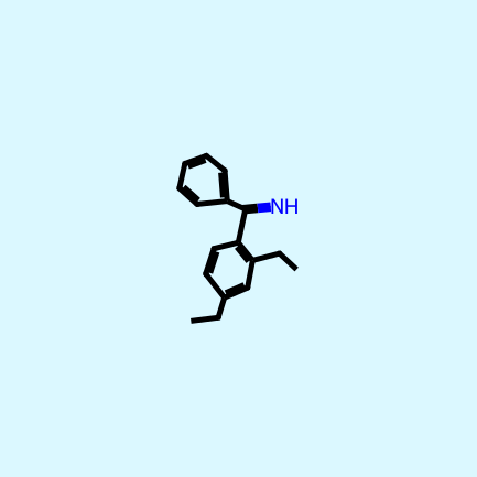 CCc1ccc(C(=N)c2ccccc2)c(CC)c1